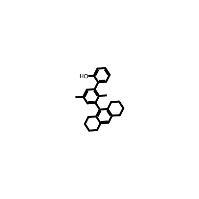 Cc1cc(-c2ccccc2O)c(C)c(-c2c3c(cc4c2CCCC4)CCCC3)c1